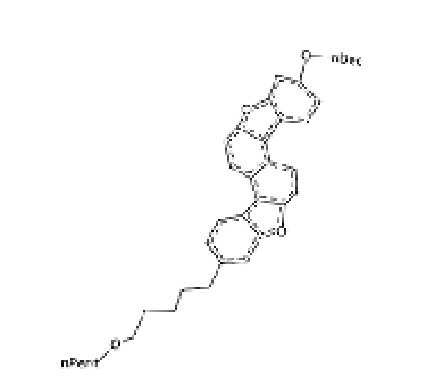 CCCCCCCCCCOc1ccc2c(c1)oc1ccc3c(ccc4oc5cc(CCCCCOCCCCC)ccc5c43)c12